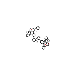 c1ccc2c(c1)Oc1ccccc1B2c1cc(-c2cccc3sc4c(-c5ccc(-n6c7ccccc7c7ccccc76)c(B6c7ccccc7Oc7ccccc76)c5)cccc4c23)ccc1-c1cccc2c1sc1ccccc12